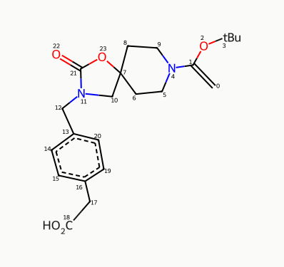 C=C(OC(C)(C)C)N1CCC2(CC1)CN(Cc1ccc(CC(=O)O)cc1)C(=O)O2